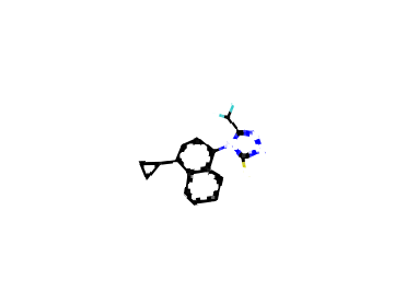 FC(F)c1nnc(S)n1-c1ccc(C2CC2)c2ccccc12